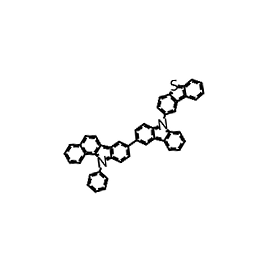 c1ccc(-n2c3ccc(-c4ccc5c(c4)c4ccccc4n5-c4ccc5sc6ccccc6c5c4)cc3c3ccc4ccccc4c32)cc1